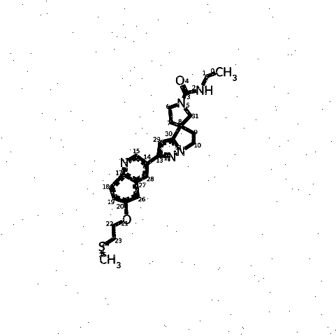 CCNC(=O)N1CCC2(CCn3nc(-c4cnc5ccc(OCCSC)cc5c4)cc32)C1